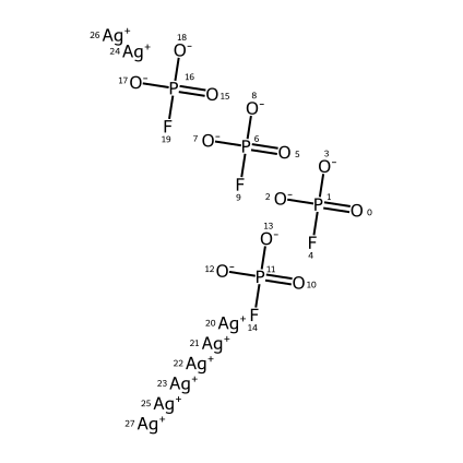 O=P([O-])([O-])F.O=P([O-])([O-])F.O=P([O-])([O-])F.O=P([O-])([O-])F.[Ag+].[Ag+].[Ag+].[Ag+].[Ag+].[Ag+].[Ag+].[Ag+]